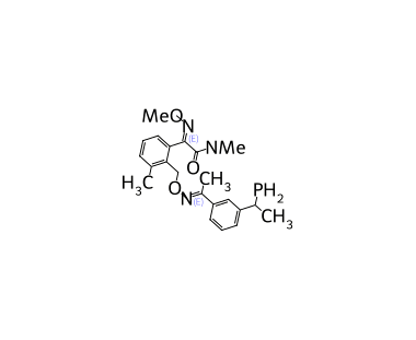 CNC(=O)/C(=N/OC)c1cccc(C)c1CO/N=C(\C)c1cccc(C(C)P)c1